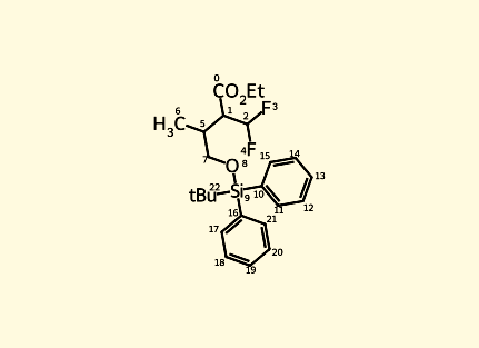 CCOC(=O)C(C(F)F)C(C)CO[Si](c1ccccc1)(c1ccccc1)C(C)(C)C